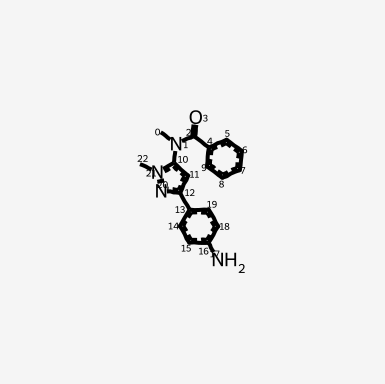 CN(C(=O)c1ccccc1)c1cc(-c2ccc(N)cc2)nn1C